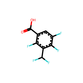 O=C(O)c1cc(F)c(F)c(C(F)F)c1F